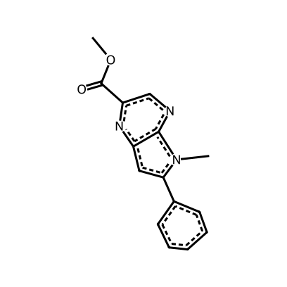 COC(=O)c1cnc2c(cc(-c3ccccc3)n2C)n1